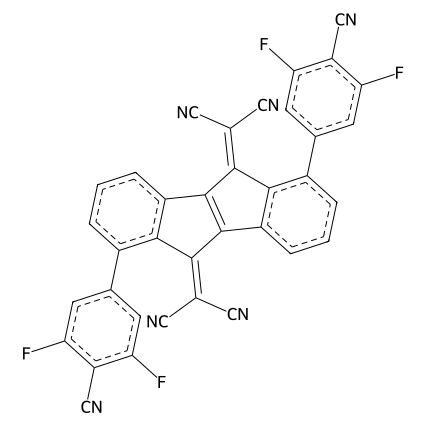 N#CC(C#N)=C1C2=C(C(=C(C#N)C#N)c3c2cccc3-c2cc(F)c(C#N)c(F)c2)c2cccc(-c3cc(F)c(C#N)c(F)c3)c21